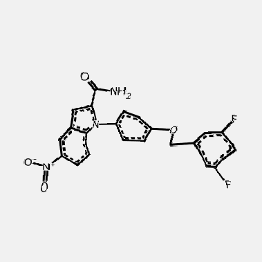 NC(=O)c1cc2cc([N+](=O)[O-])ccc2n1-c1ccc(OCc2cc(F)cc(F)c2)cc1